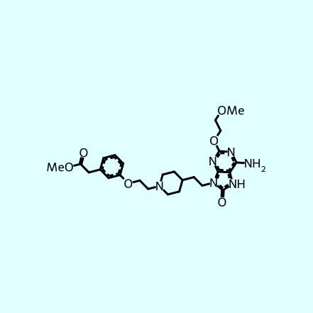 COCCOc1nc(N)c2[nH]c(=O)n(CCC3CCN(CCOc4cccc(CC(=O)OC)c4)CC3)c2n1